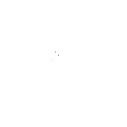 CCCCCCCCCCCCCCCCC(CN)CCCCCCCCCCCCCC